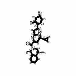 C[C@@H]1c2ccccc2[C@H](F)CN1C(=O)c1cc(C2CC2)n2nc(-c3ccc(Br)cc3F)cc2n1